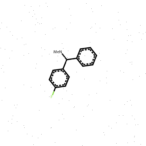 CNC(c1ccccc1)c1ccc(F)cc1